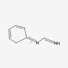 N=C/N=C1/[CH]C=CC=C1